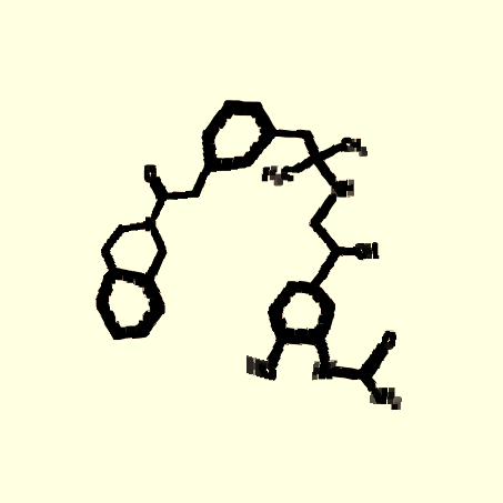 CC(C)(Cc1cccc(CC(=O)N2CCc3ccccc3C2)c1)NCC(O)c1ccc(O)c(NC(N)=O)c1